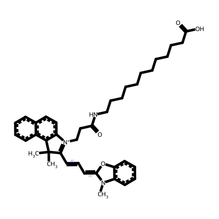 CN1/C(=C/C=C/C2=[N+](CCC(=O)NCCCCCCCCCCCC(=O)O)c3ccc4ccccc4c3C2(C)C)Oc2ccccc21